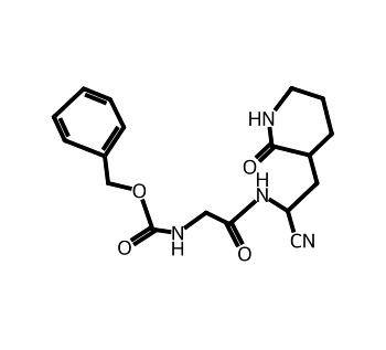 N#CC(CC1CCCNC1=O)NC(=O)CNC(=O)OCc1ccccc1